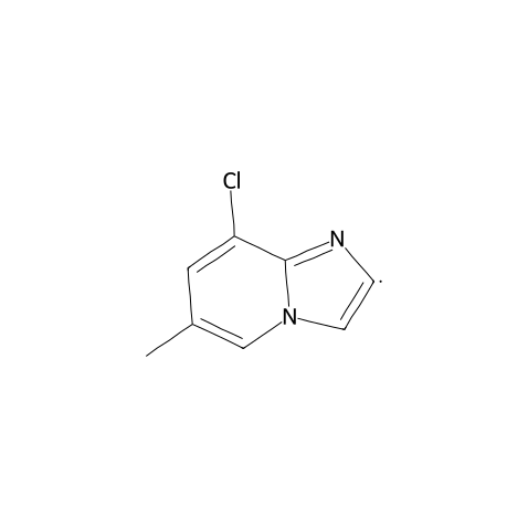 Cc1cc(Cl)c2n[c]cn2c1